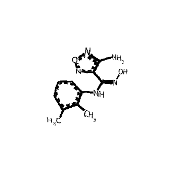 Cc1cccc(N/C(=N/O)c2nonc2N)c1C